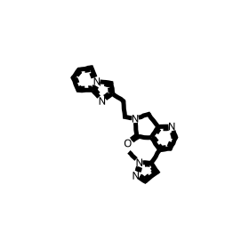 Cn1nccc1-c1ccnc2c1C(=O)N(CCc1cn3ccccc3n1)C2